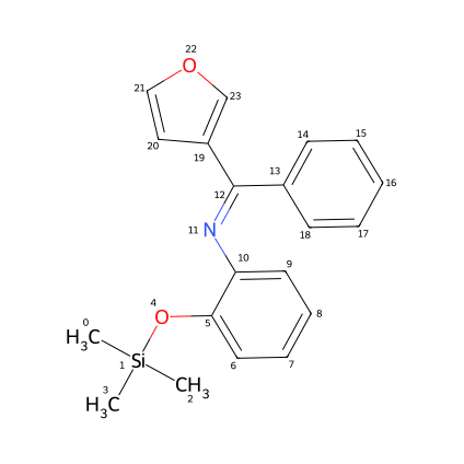 C[Si](C)(C)Oc1ccccc1N=C(c1ccccc1)c1ccoc1